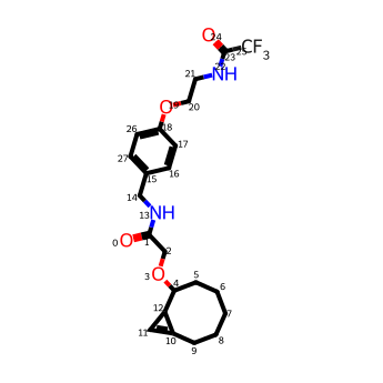 O=C(COC1CCCCCC2=CC21)NCc1ccc(OCCNC(=O)C(F)(F)F)cc1